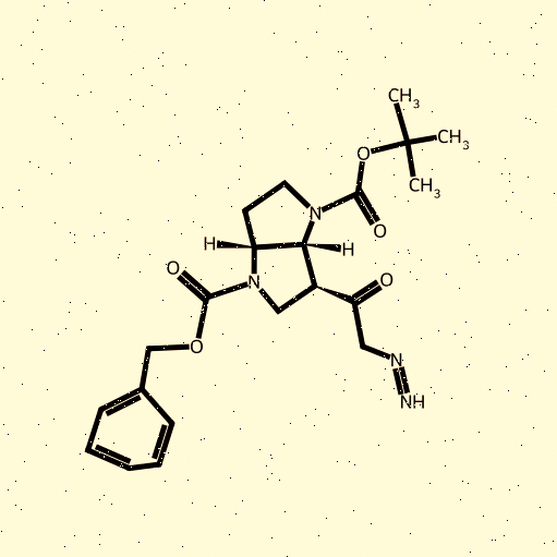 CC(C)(C)OC(=O)N1CC[C@@H]2[C@H]1[C@@H](C(=O)CN=N)CN2C(=O)OCc1ccccc1